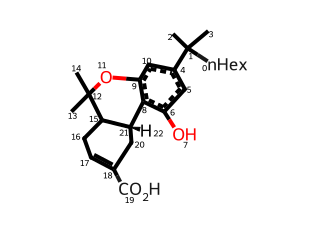 CCCCCCC(C)(C)c1cc(O)c2c(c1)OC(C)(C)C1CC=C(C(=O)O)C[C@@H]21